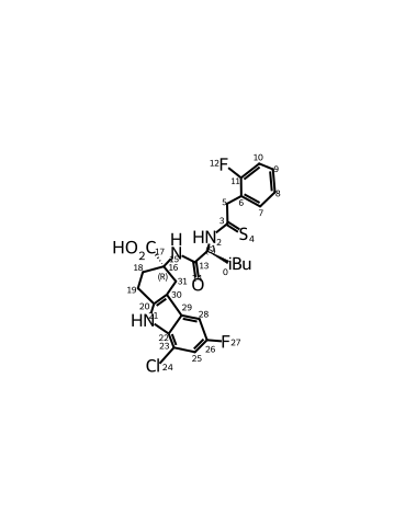 CCC(C)[C@H](NC(=S)Cc1ccccc1F)C(=O)N[C@]1(C(=O)O)CCc2[nH]c3c(Cl)cc(F)cc3c2C1